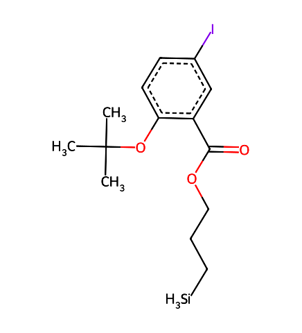 CC(C)(C)Oc1ccc(I)cc1C(=O)OCCC[SiH3]